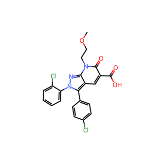 COCCn1c(=O)c(C(=O)O)cc2c(-c3ccc(Cl)cc3)n(-c3ccccc3Cl)nc21